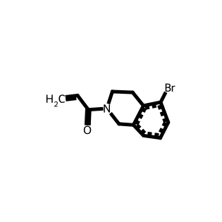 C=CC(=O)N1CCc2c(Br)cccc2C1